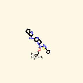 C[Si](C)(C)CCOCN(c1ccc2ncc(Nc3cnc4ccccc4c3)cc2n1)c1nnc(C2CCCC2)s1